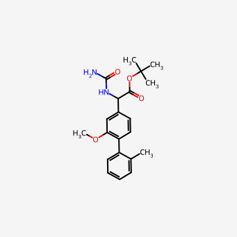 COc1cc(C(NC(N)=O)C(=O)OC(C)(C)C)ccc1-c1ccccc1C